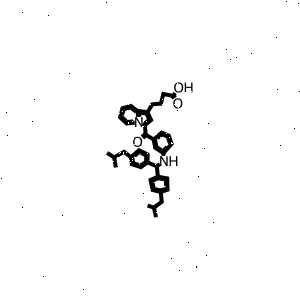 CC(C)Cc1ccc(C(Nc2cccc(C(=O)c3cc(CCCC(=O)O)c4ccccn34)c2)c2ccc(CC(C)C)cc2)cc1